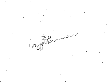 CCCCCCCCCCCCCCN(CC(=O)NCC(N)=O)C(=O)OC(C)(C)C